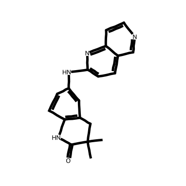 CC1(C)Cc2cc(Nc3ccc4cnccc4n3)ccc2NC1=O